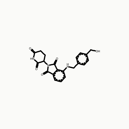 O=C1CCC(N2C(=O)c3cccc(NCc4ccc(CO)cc4)c3C2=O)C(=O)N1